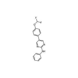 FC(F)Oc1ccc(-c2cnc(Nc3ccccc3)nc2)cc1